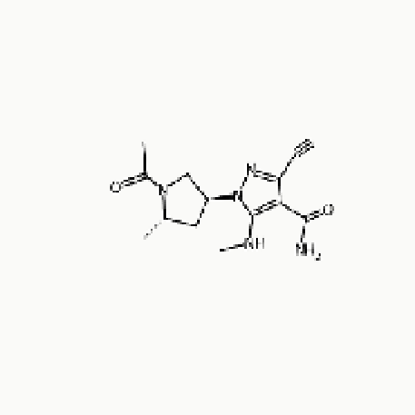 C#Cc1nn([C@H]2C[C@H](C)N(C(C)=O)C2)c(NC)c1C(N)=O